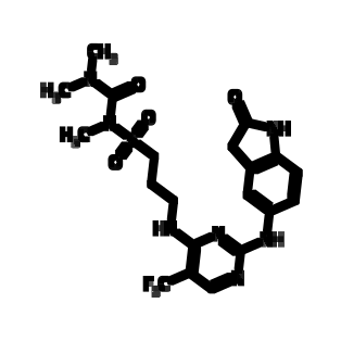 CN(C)C(=O)N(C)S(=O)(=O)CCCNc1nc(Nc2ccc3c(c2)CC(=O)N3)ncc1C(F)(F)F